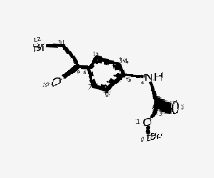 CC(C)(C)OC(=O)Nc1ccc(C(=O)CBr)cc1